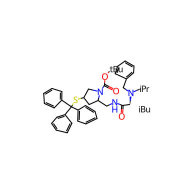 CC[C@H](C)[C@@H](C(=O)NCC1CC(SC(c2ccccc2)(c2ccccc2)c2ccccc2)CN1C(=O)OC(C)(C)C)N(Cc1ccccc1)C(C)C